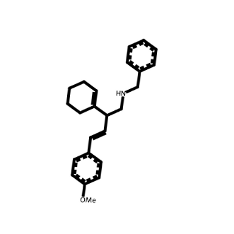 COc1ccc(C=CC(CNCc2ccccc2)C2=CCCCC2)cc1